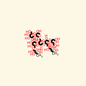 CC(O)/C=C(\O)C(O)OCC1OC(OC(CCO)/C(O)=C(\O)C(O)O)C(O)C(O)C1OC1OC(COC2OCC(O)C(O)C2OC2OC(CO)C(O)C(O)C2O)C(OC2OC(COC(O)/C(O)=C(\O)C(C)O)C(O)C(O)C2O)C(O)C1O